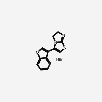 Br.C1=C(c2coc3ccccc23)N2CCN=C2S1